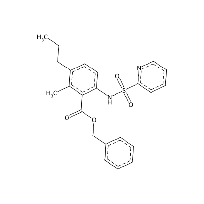 CCCc1ccc(NS(=O)(=O)c2ccccn2)c(C(=O)OCc2ccccc2)c1C